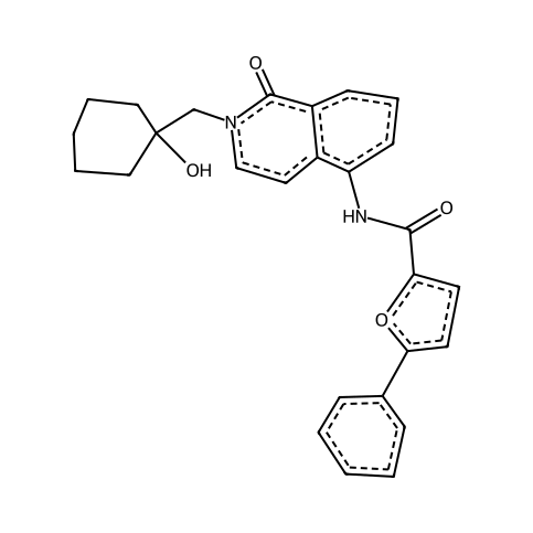 O=C(Nc1cccc2c(=O)n(CC3(O)CCCCC3)ccc12)c1ccc(-c2ccccc2)o1